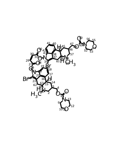 CN1CC(COC(=O)N2CCOCC2)C[C@H]2c3cccc4c3c(c(Br)n4OC(=O)/C=C\C(=O)On3c(Br)c4c5c(cccc53)[C@@H]3CC(COC(=O)N5CCOCC5)CN(C)[C@H]3C4)C[C@@H]21